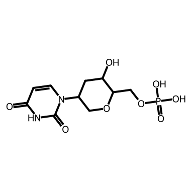 O=c1ccn(C2COC(COP(=O)(O)O)C(O)C2)c(=O)[nH]1